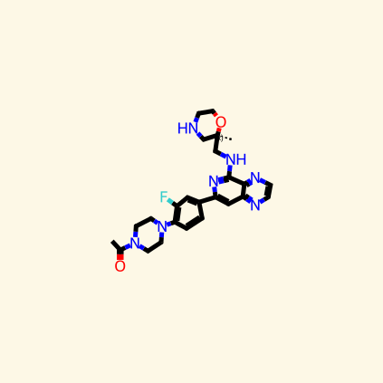 CC(=O)N1CCN(c2ccc(-c3cc4nccnc4c(NC[C@@]4(C)CNCCO4)n3)cc2F)CC1